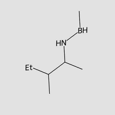 CBNC(C)C(C)CC